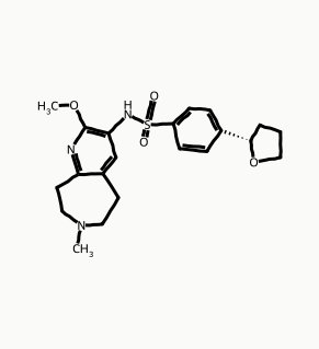 COc1nc2c(cc1NS(=O)(=O)c1ccc([C@@H]3CCCO3)cc1)CCN(C)CC2